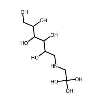 OCC(O)C(O)C(O)C(O)CNCC(O)(O)O